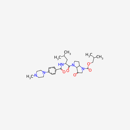 CC(C)COC(=O)N1CC(=O)C2C1CCN2C(=O)C(CC(C)C)NC(=O)c1ccc(N2CCN(C)CC2)cc1